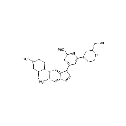 COc1nc(N2CCOC(CO)C2)cc(-n2ncc3cc(C)c(C4CCN(C(=O)O)CC4F)cc32)n1